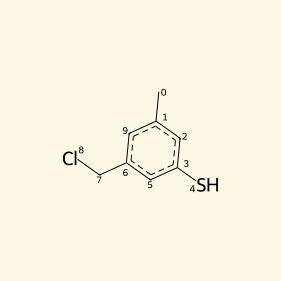 Cc1cc(S)cc(CCl)c1